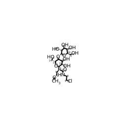 COCCN(C(=O)NCCCl)C1O[C@H](CO)[C@@H](O[C@H]2O[C@H](CO)[C@@H](O)[C@H](O)[C@H]2O)[C@H](O)[C@H]1O